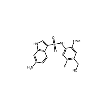 COc1cc(CC#N)c(F)nc1NS(=O)(=O)c1c[nH]c2cc(N)ccc12